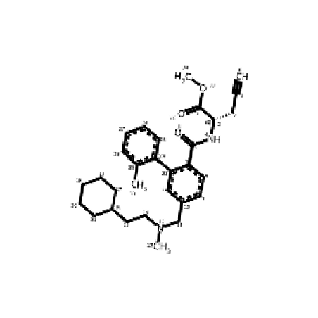 C#CC[C@H](NC(=O)c1ccc(CN(C)CCC2CCCCC2)cc1-c1ccccc1C)C(=O)OC